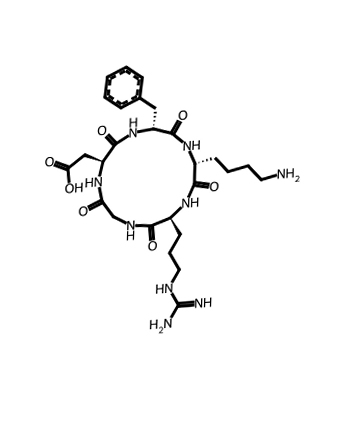 N=C(N)NCCC[C@@H]1NC(=O)[C@@H](CCCCN)NC(=O)[C@@H](Cc2ccccc2)NC(=O)[C@H](CC(=O)O)NC(=O)CNC1=O